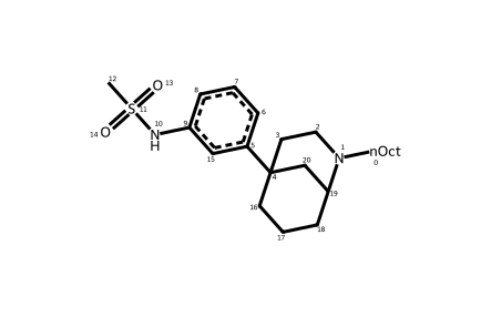 CCCCCCCCN1CCC2(c3cccc(NS(C)(=O)=O)c3)CCCC1C2